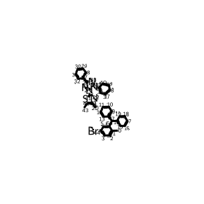 Cc1ccccc1[C](c1ccccc1)c1ccccc1.Cc1nc(-n2nc(-c3ccccc3)n[n+]2-c2ccccc2)sc1C.[Br-]